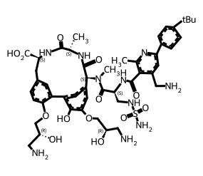 Cc1nc(-c2ccc(C(C)(C)C)cc2)cc(CN)c1C(=O)N[C@@H](CNS(N)(=O)=O)C(=O)N(C)[C@@H]1C(=O)N[C@@H](C)C(=O)N[C@H](C(=O)O)Cc2ccc(OC[C@H](O)CN)c(c2)-c2cc1cc(OC[C@H](O)CN)c2O